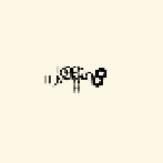 NC(=O)C[C@H](NC(=O)COc1cccc2ccccc12)C(=O)O